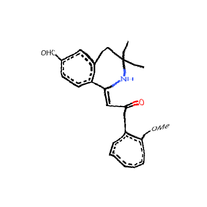 COc1ccccc1C(=O)/C=C1\NC(C)(C)Cc2cc(C=O)ccc21